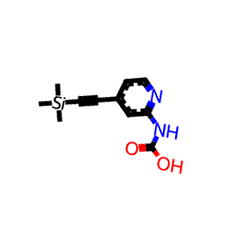 C[Si](C)(C)C#Cc1ccnc(NC(=O)O)c1